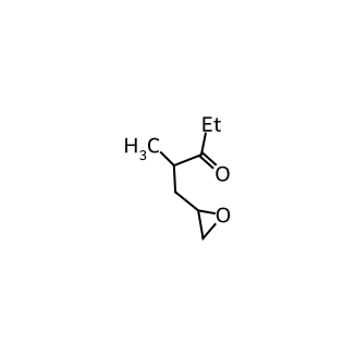 CCC(=O)C(C)CC1CO1